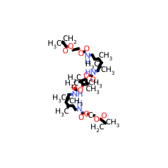 C=C(C)C(=O)OCCOC(=O)NCCC(C)CC(C)(C)CNC(=O)OC1C(C)(C)C(OC(=O)NCC(C)(C)CC(C)CCNC(=O)OCCOC(=O)C(=C)C)C1(C)C